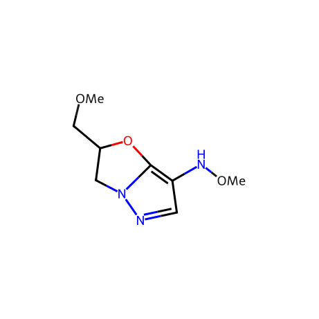 COCC1Cn2ncc(NOC)c2O1